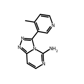 Cc1ccncc1-c1nnc2ccnc(N)n12